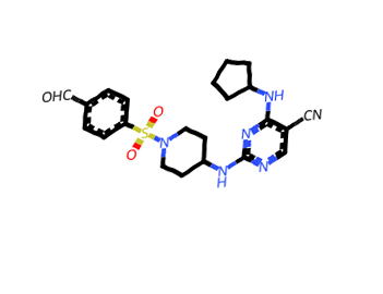 N#Cc1cnc(NC2CCN(S(=O)(=O)c3ccc(C=O)cc3)CC2)nc1NC1CCCC1